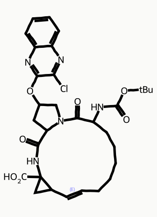 CC(C)(C)OC(=O)NC1CCCCC/C=C/C2CC2(C(=O)O)NC(=O)C2CC(Oc3nc4ccccc4nc3Cl)CN2C1=O